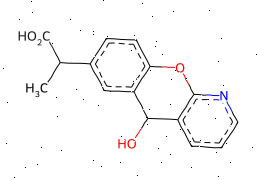 CC(C(=O)O)c1ccc2c(c1)C(O)c1cccnc1O2